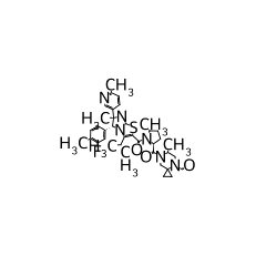 Cc1ccc([C@]2(C)N=C3SC(C(=O)N4[C@H](C)CC[C@H]4C(=O)N4CC5(CC5)N(C=O)C[C@@H]4C)=C(C(C)C)N3[C@@H]2c2ccc(C)c(F)c2)cn1